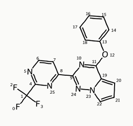 FC(F)(F)c1nccc(-c2nc(Oc3ccccc3)c3cccn3n2)n1